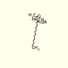 CCCCCCCCCCCC[C@@](C)(CS)NC(C)=O